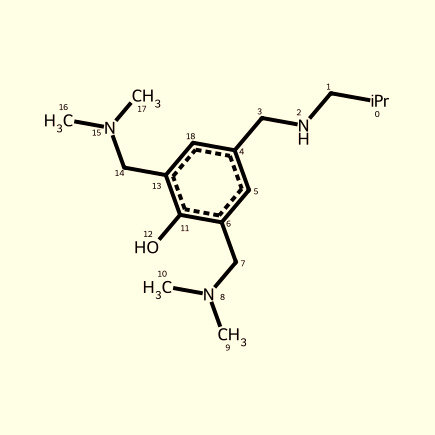 CC(C)CNCc1cc(CN(C)C)c(O)c(CN(C)C)c1